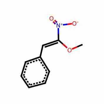 COC(=Cc1ccccc1)[N+](=O)[O-]